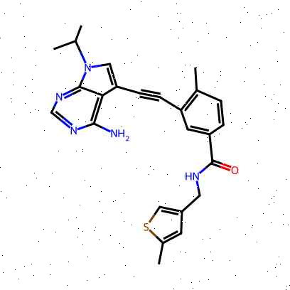 Cc1cc(CNC(=O)c2ccc(C)c(C#Cc3cn(C(C)C)c4ncnc(N)c34)c2)cs1